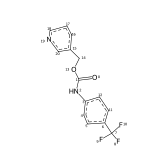 O=C(Nc1ccc(C(F)(F)F)cc1)OCc1cccnc1